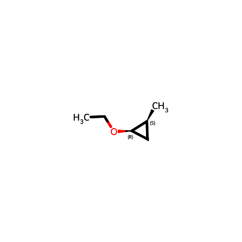 CCO[C@@H]1C[C@@H]1C